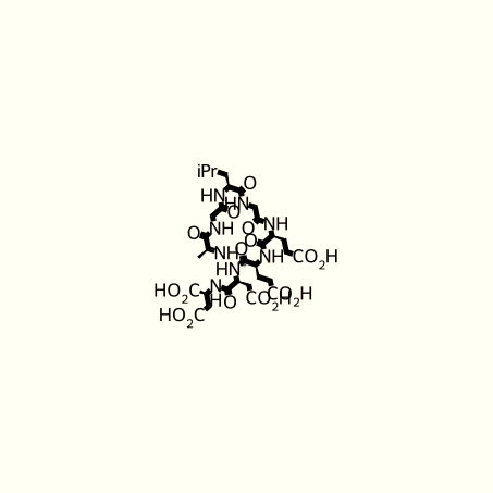 CC(C)C[C@H](NC(=O)CNC(=O)[C@H](C)N)C(=O)NCC(=O)N[C@@H](CCC(=O)O)C(=O)N[C@@H](CCC(=O)O)C(=O)N[C@@H](CC(=O)O)C(=O)N[C@@H](CC(=O)O)C(=O)O